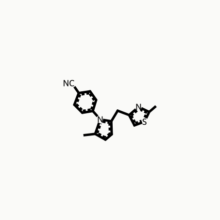 Cc1nc(Cc2ccc(C)n2-c2ccc(C#N)cc2)cs1